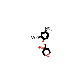 COc1cc([N+](=O)[O-])ccc1OCC1(O)CCOCC1